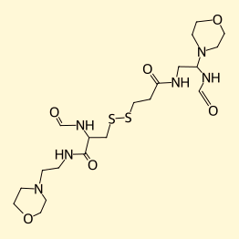 O=CNC(CSSCCC(=O)NCC(NC=O)N1CCOCC1)C(=O)NCCN1CCOCC1